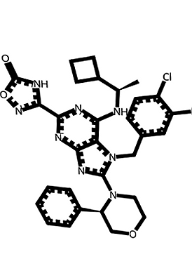 C[C@@H](Nc1nc(-c2noc(=O)[nH]2)nc2nc(N3CCOC[C@H]3c3ccccc3)n(Cc3ccc(Cl)c(F)c3)c12)C1CCC1